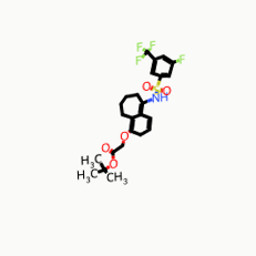 CC(C)(C)OC(=O)COC1=C2CCCCC(NS(=O)(=O)c3cc(F)cc(C(F)(F)F)c3)=C2C=CC1